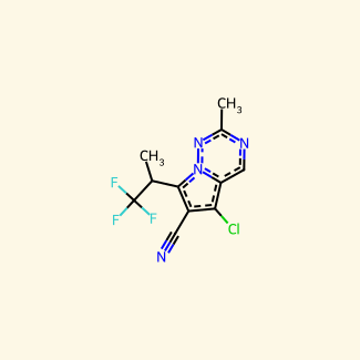 Cc1ncc2c(Cl)c(C#N)c(C(C)C(F)(F)F)n2n1